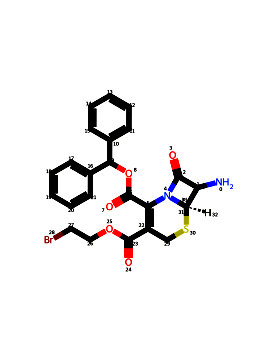 NC1C(=O)N2C(C(=O)OC(c3ccccc3)c3ccccc3)=C(C(=O)OCCBr)CS[C@H]12